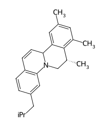 Cc1cc(C)c2c(c1)C1C=Cc3ccc(CC(C)C)cc3N1C[C@H]2C